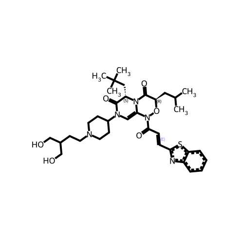 CC(C)C[C@H]1ON(C(=O)/C=C/c2nc3ccccc3s2)C2=CN(C3CCN(CCC(CO)CO)CC3)C(=O)[C@H](CC(C)(C)C)N2C1=O